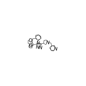 ClC1c2nnc(C3CCN(Cc4cccnc4)C3)n2-c2ccccc2CC12OCCO2